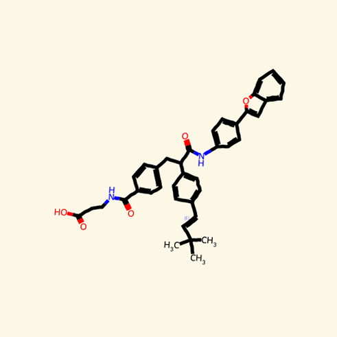 CC(C)(C)/C=C/c1ccc(C(Cc2ccc(C(=O)NCCC(=O)O)cc2)C(=O)Nc2ccc(-c3cc4ccccc4o3)cc2)cc1